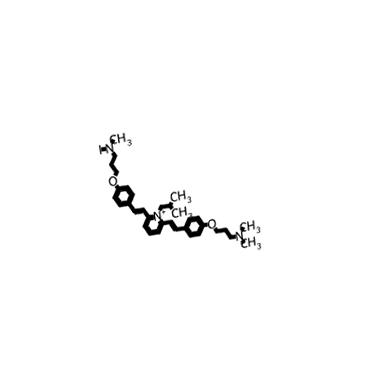 CC(C)C[n+]1c(/C=C/c2ccc(OCCCN(C)C)cc2)cccc1/C=C/c1ccc(OCCCN(C)I)cc1